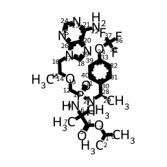 CC(C)OC(=O)C(C)(C)NP(=O)(CO[C@H](C)Cn1cnc2c(N)ncnc21)N[C@H](C)c1ccc(OC(F)(F)F)cc1